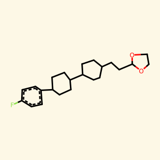 Fc1ccc(C2CCC(C3CCC(CCC4OCCO4)CC3)CC2)cc1